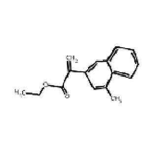 C=C(C(=O)OCC)c1cc(C)c2ccccc2c1